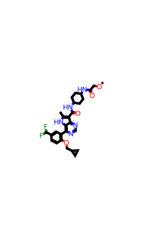 COCC(=O)NC1CCC(NC(=O)c2c(C)[nH]c3c(-c4cc(C(F)F)ccc4OCC4CC4)ncnc23)CC1